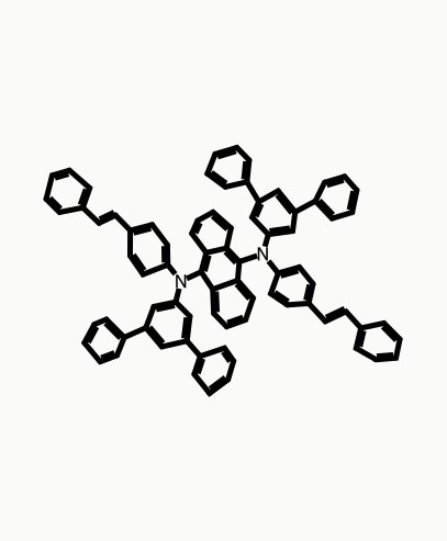 C(=C\c1ccc(N(c2cc(-c3ccccc3)cc(-c3ccccc3)c2)c2c3ccccc3c(N(c3ccc(/C=C/c4ccccc4)cc3)c3cc(-c4ccccc4)cc(-c4ccccc4)c3)c3ccccc23)cc1)/c1ccccc1